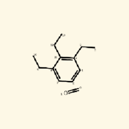 C=O.CCc1cccc(CC)c1CC